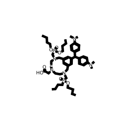 CCCCOP(=O)(CCCC)CN1CCN(CC(=O)O)CCN(CP(=O)(OCCCC)OCCCC)Cc2cc(cc(C(c3ccc(N(C)C)cc3)c3ccc(N(C)C)cc3)c2)C1